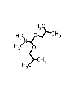 CC(C)COC(OCC(C)C)N(C)C